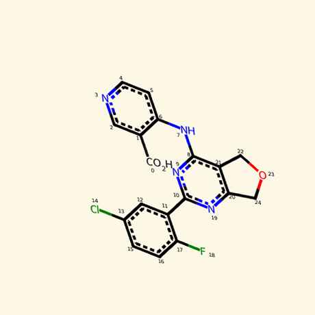 O=C(O)c1cnccc1Nc1nc(-c2cc(Cl)ccc2F)nc2c1COC2